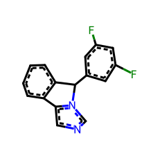 Fc1cc(F)cc(C2c3ccccc3-c3cncn32)c1